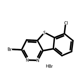 Br.Clc1cccc2c1sc1cc(Br)nnc12